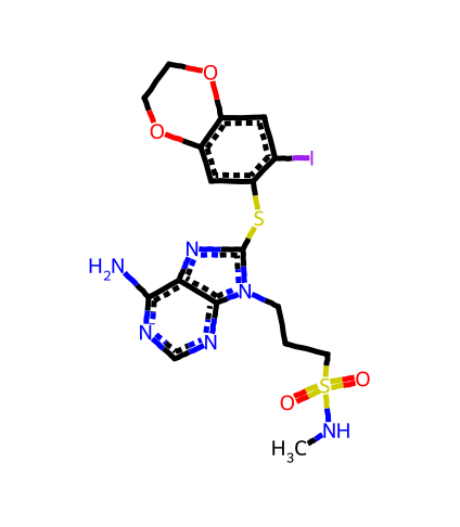 CNS(=O)(=O)CCCn1c(Sc2cc3c(cc2I)OCCO3)nc2c(N)ncnc21